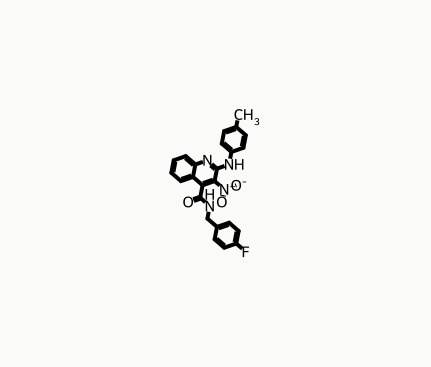 Cc1ccc(Nc2nc3ccccc3c(C(=O)NCc3ccc(F)cc3)c2[N+](=O)[O-])cc1